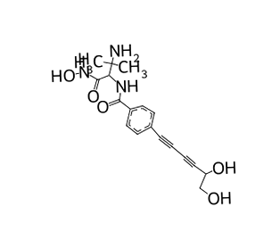 CC(C)(N)C(NC(=O)c1ccc(C#CC#CC(O)CO)cc1)C(=O)NO